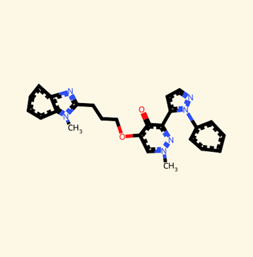 Cn1cc(OCCCc2nc3ccccc3n2C)c(=O)c(-c2ccnn2-c2ccccc2)n1